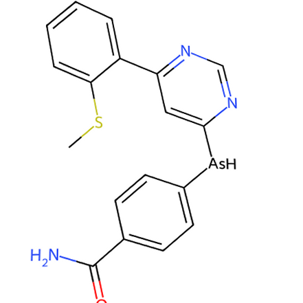 CSc1ccccc1-c1cc([AsH]c2ccc(C(N)=O)cc2)ncn1